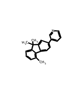 Cc1cccc2c1-c1ccc(-c3cccnc3)cc1C2(C)C